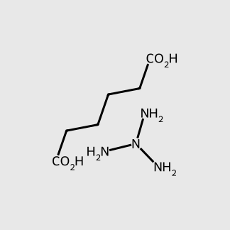 NN(N)N.O=C(O)CCCCC(=O)O